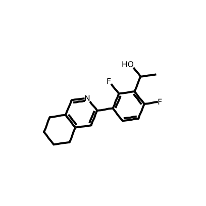 CC(O)c1c(F)ccc(-c2cc3c(cn2)CCCC3)c1F